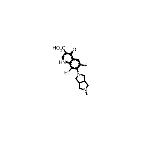 CCc1c(N2CC3CN(C)CC3C2)c(F)cc2c(=O)c(C(=O)O)c[nH]c12